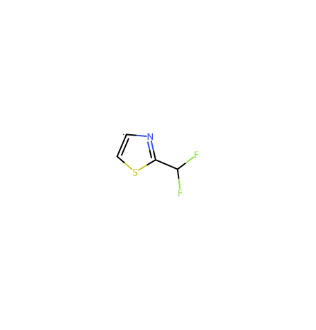 FC(F)c1n[c]cs1